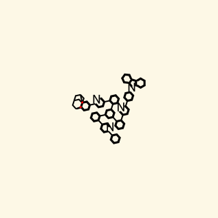 c1ccc(-c2ccc(-c3ccccc3-c3cc(-c4ccccc4-c4ccc(-c5ccc(-n6c7ccccc7c7ccccc76)cc5)nc4)cc(-c4ccccc4-c4ccc(-c5ccc6c(c5)C5CC7CC(CC6C7)C5)nc4)c3)cn2)cc1